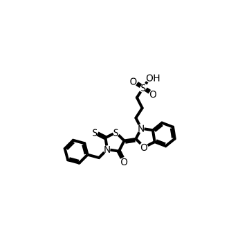 O=C1C(=C2Oc3ccccc3N2CCCS(=O)(=O)O)SC(=S)N1Cc1ccccc1